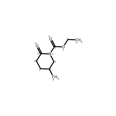 CCOC(=O)N1CC(C)CCC1=O